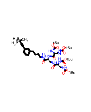 CC(C)(C)OC(=O)NC[C@H](NC(=O)OC(C)(C)C)C(=O)NC[C@H](NC(=O)[C@H](CNC(=O)OC(C)(C)C)NC(=O)OC(C)(C)C)C(=O)NCCCCc1cccc(C#C[Si](C)(C)C)c1